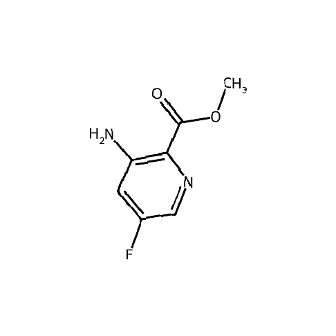 COC(=O)c1ncc(F)cc1N